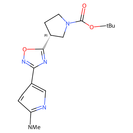 CNc1ccc(-c2noc([C@@H]3CCN(C(=O)OC(C)(C)C)C3)n2)cn1